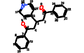 O=C(CC(CC(=O)c1ccccc1)c1ccncc1)c1ccccc1